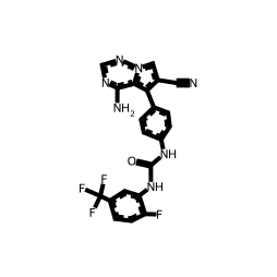 N#Cc1cn2ncnc(N)c2c1-c1ccc(NC(=O)Nc2cc(C(F)(F)F)ccc2F)cc1